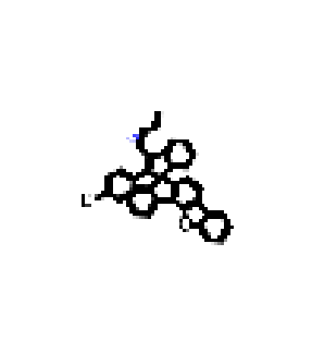 C=C/C=C\C1=C(c2ccc(Cl)cc2)C2(c3ccccc31)c1ccccc1-c1c2ccc2c1oc1ccccc12